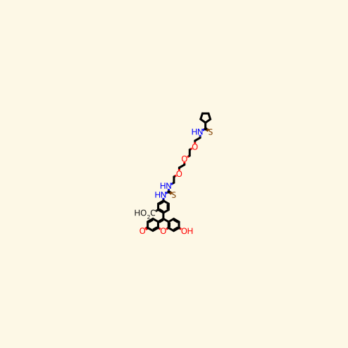 O=C(O)c1cc(NC(=S)NCCOCCOCCOCCNC(=S)C2CCCC2)ccc1-c1c2ccc(=O)cc-2oc2cc(O)ccc12